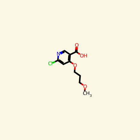 COCCCOc1cc(Cl)ncc1C(=O)O